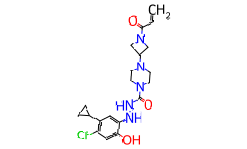 C=CC(=O)N1CC(N2CCN(C(=O)NNc3cc(C4CC4)c(Cl)cc3O)CC2)C1